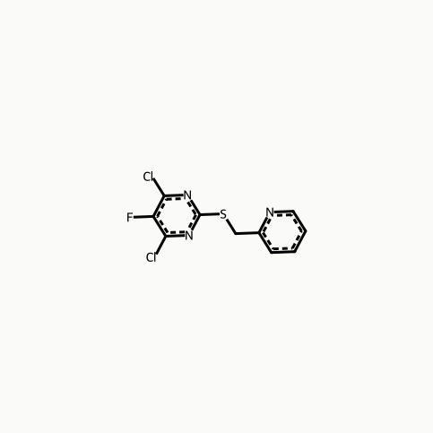 Fc1c(Cl)nc(SCc2ccccn2)nc1Cl